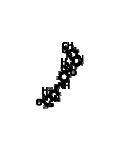 COc1ccc2nccc(NC(=O)[C@]3(O)CC[C@@H](NCc4cnc5c(c4)NC(=O)CS5)CC3)c2n1